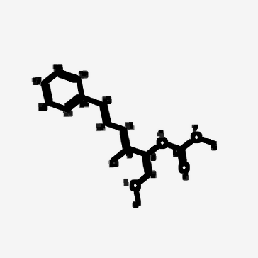 CO\C=C(OC(=O)OC)/C(C)=C/C=C/c1ccccc1